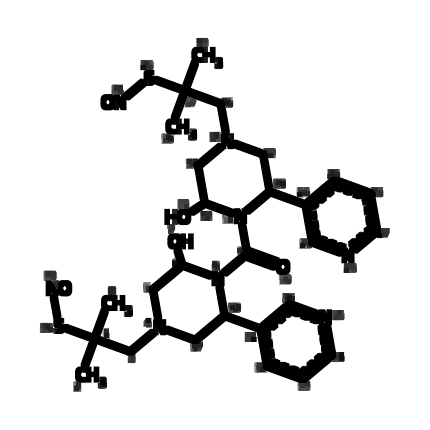 CC(C)(CN1CC(O)N(C(=O)N2C(O)CN(CC(C)(C)SN=O)CC2c2cccnc2)C(c2cccnc2)C1)SN=O